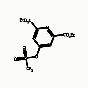 CCOC(=O)c1cc(OS(=O)(=O)C(F)(F)F)cc(C(=O)OCC)n1